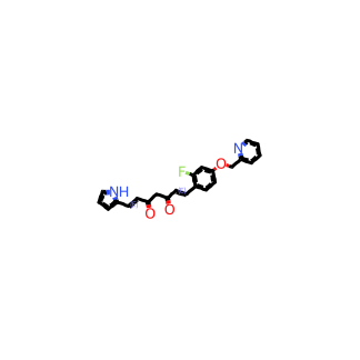 O=C(/C=C/c1ccc[nH]1)CC(=O)/C=C/c1ccc(OCc2ccccn2)cc1F